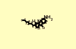 CCCCCCCc1ccc(C(C)c2ccc(N)cc2N)cc1